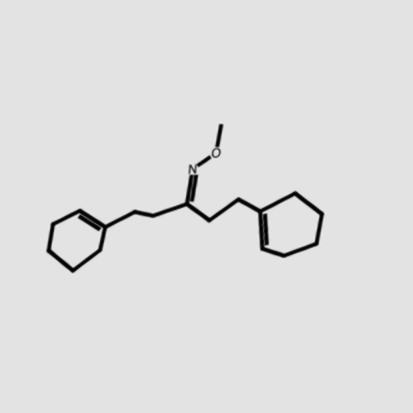 CON=C(CCC1=CCCCC1)CCC1=CCCCC1